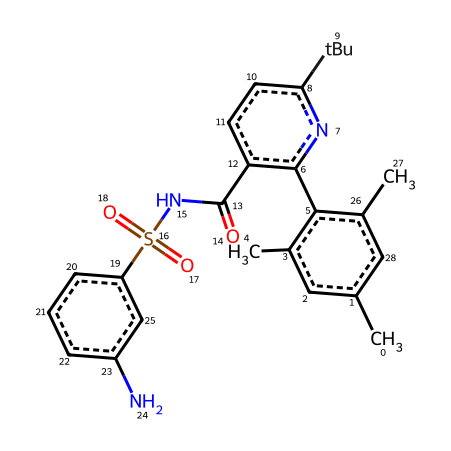 Cc1cc(C)c(-c2nc(C(C)(C)C)ccc2C(=O)NS(=O)(=O)c2cccc(N)c2)c(C)c1